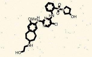 COc1cc2c(cc1Nc1ncc(Cl)c(Nc3ccccc3S(=O)(=O)N3CCC(O)C3)n1)CCC(NCCO)CC2